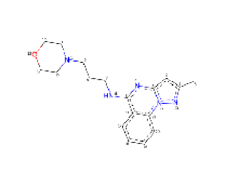 Cc1cc2nc(NCCCN3CCOCC3)c3ccccc3n2n1